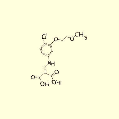 COCCOc1cc(NC=C(C(=O)O)C(=O)O)ccc1Cl